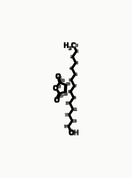 CCCCCCCCCCCCCCCO.O=C1C=CC(=O)O1